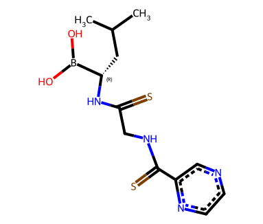 CC(C)C[C@H](NC(=S)CNC(=S)c1cnccn1)B(O)O